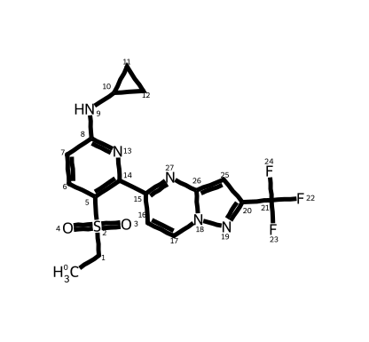 CCS(=O)(=O)c1ccc(NC2CC2)nc1-c1ccn2nc(C(F)(F)F)cc2n1